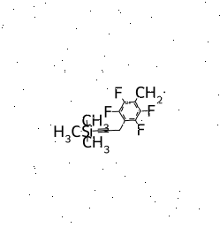 [CH2]c1c(F)c(F)c(CC#C[Si](C)(C)C)c(F)c1F